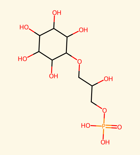 O=P(O)(O)OCC(O)COC1C(O)C(O)C(O)C(O)C1O